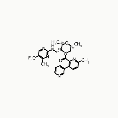 Cc1ccc(-c2cccnc2)c(C(=O)N2C[C@@H](C)O[C@@H](C)[C@H]2CNc2ncc(C(F)(F)F)c(C)n2)n1